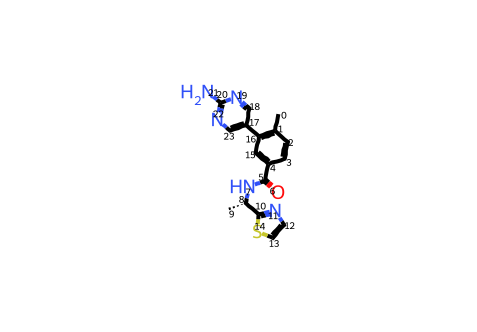 Cc1ccc(C(=O)N[C@@H](C)c2nccs2)cc1-c1cnc(N)nc1